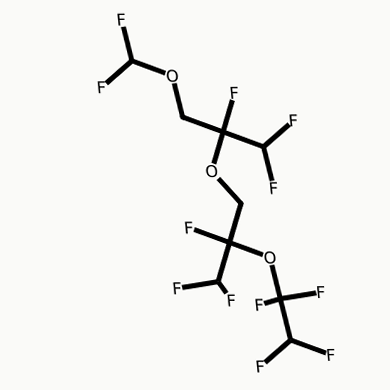 FC(F)OCC(F)(OCC(F)(OC(F)(F)C(F)F)C(F)F)C(F)F